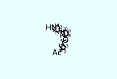 CC(=O)c1ccc(COc2cccc(C3CCNCC3)n2)s1